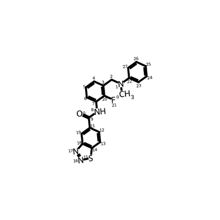 CN(Cc1cccc(NC(=O)c2ccc3snnc3c2)c1F)c1ccccc1